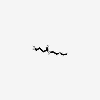 CCOCCOC(=O)CCC=O